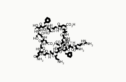 CC(NC(=O)[C@H](C)NC(=O)C(CCC(N)=O)NC(=O)CNC(=O)[C@H](CCC(=O)O)NCC(=O)[C@H](CO)NN[C@H](C(=O)C(=O)[C@H](Cc1ccccc1)NC(=O)[C@@H](NC(=O)CNC(=O)C(CCC(=O)O)NC(=O)C(C)(C)NC(=O)[C@H](Cc1cnc[nH]1)NN)[C@@H](C)O)[C@@H](C)O)C(=O)N[C@@H](CCCCN)C(=O)C(=O)[C@H](CCC(=O)O)NN[C@@H](Cc1ccccc1)C(=O)CNC(C)(C)C(=O)N[C@@H](CCCNC(=N)N)C(N)=O